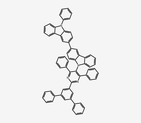 c1ccc(-c2cc(-c3ccccc3)cc(-c3nc(-c4ccccc4)c(-n4c5ccccc5c5cc(-c6ccc7c(c6)c6ccccc6n7-c6ccccc6)ccc54)c(-c4ccccc4)n3)c2)cc1